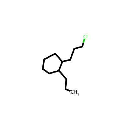 CCCC1CCCCC1CCCCl